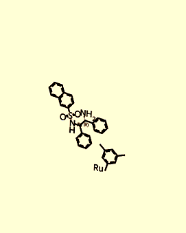 Cc1cc(C)cc(C)c1.N[C@H](c1ccccc1)[C@H](NS(=O)(=O)c1ccc2ccccc2c1)c1ccccc1.[Ru]